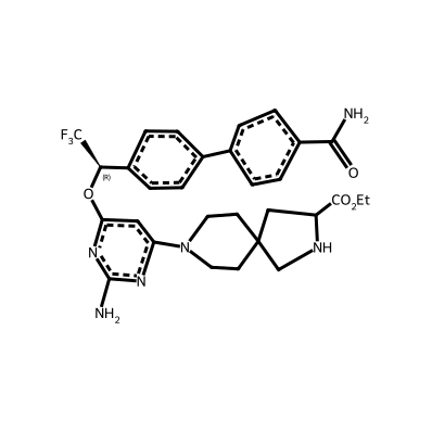 CCOC(=O)C1CC2(CCN(c3cc(O[C@H](c4ccc(-c5ccc(C(N)=O)cc5)cc4)C(F)(F)F)nc(N)n3)CC2)CN1